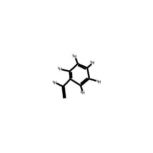 [3H]C(=[CH])c1c([3H])c([3H])c([3H])c([3H])c1[3H]